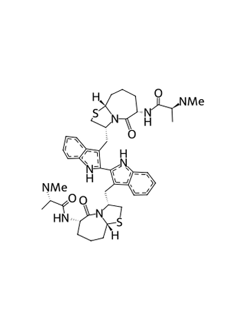 CN[C@@H](C)C(=O)N[C@H]1CCC[C@H]2SC[C@@H](Cc3c(-c4[nH]c5ccccc5c4C[C@@H]4CS[C@@H]5CCC[C@H](NC(=O)[C@H](C)NC)C(=O)N45)[nH]c4ccccc34)N2C1=O